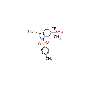 Cc1ccc(S(=O)(=O)n2cc(S(=O)(=O)O)c3c2CC(C(C)(O)C(F)(F)F)CC3)cc1